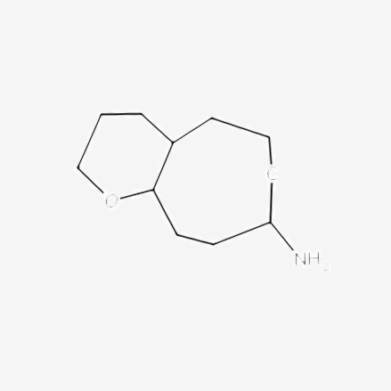 NC1CCCC2CCCOC2CC1